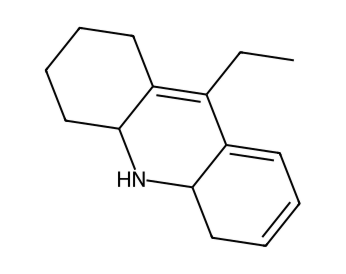 CCC1=C2CCCCC2NC2CC=CC=C12